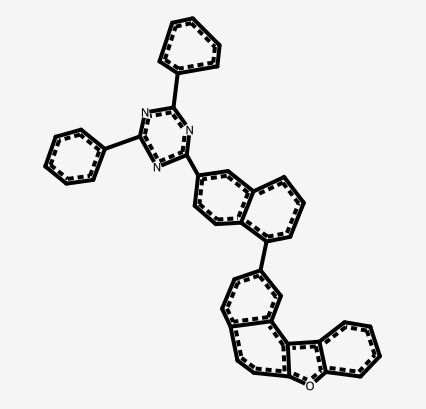 c1ccc(-c2nc(-c3ccccc3)nc(-c3ccc4c(-c5ccc6ccc7oc8ccccc8c7c6c5)cccc4c3)n2)cc1